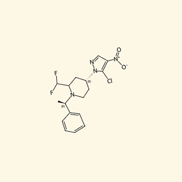 C[C@H](c1ccccc1)N1CC[C@@H](n2ncc([N+](=O)[O-])c2Cl)CC1C(F)F